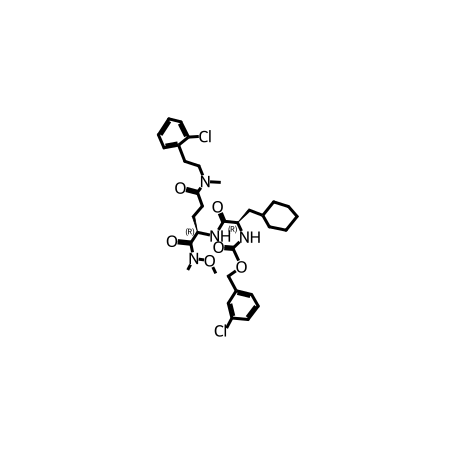 CON(C)C(=O)[C@@H](CCC(=O)N(C)CCc1ccccc1Cl)NC(=O)[C@@H](CC1CCCCC1)NC(=O)OCc1cccc(Cl)c1